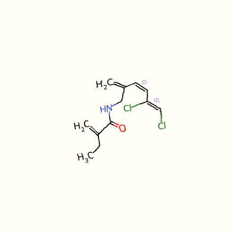 C=C(/C=C\C(Cl)=C\Cl)CNC(=O)C(=C)CC